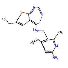 CCc1cc2c(NCc3c(C)cc(N)nc3C)ncnc2s1